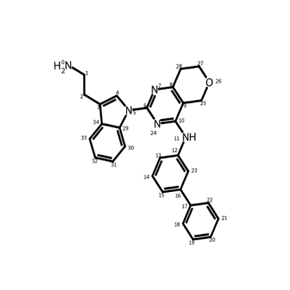 NCCc1cn(-c2nc3c(c(Nc4cccc(-c5ccccc5)c4)n2)COCC3)c2ccccc12